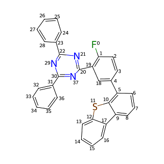 Fc1ccc(-c2cccc3c2sc2ccccc23)cc1-c1nc(-c2ccccc2)nc(-c2ccccc2)n1